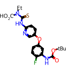 CCN(C(=O)O)C(=S)Nc1ccc(Oc2ccc(F)c(NC(=O)OC(C)(C)C)c2)cn1